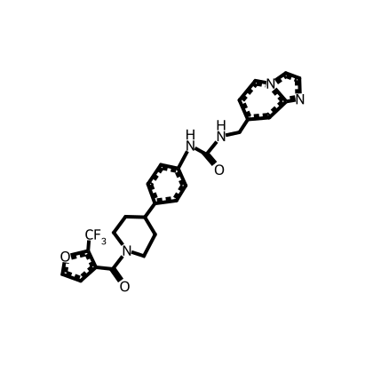 O=C(NCc1ccn2ccnc2c1)Nc1ccc(C2CCN(C(=O)c3ccoc3C(F)(F)F)CC2)cc1